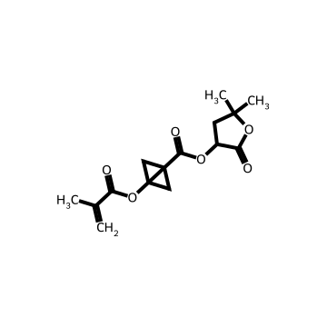 C=C(C)C(=O)OC12CC1(C(=O)OC1CC(C)(C)OC1=O)C2